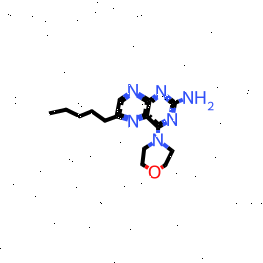 CCCCCc1cnc2nc(N)nc(N3CCOCC3)c2n1